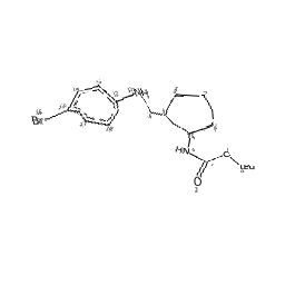 CC(C)(C)OC(=O)NC1CCCC1CNc1ccc(Br)cc1